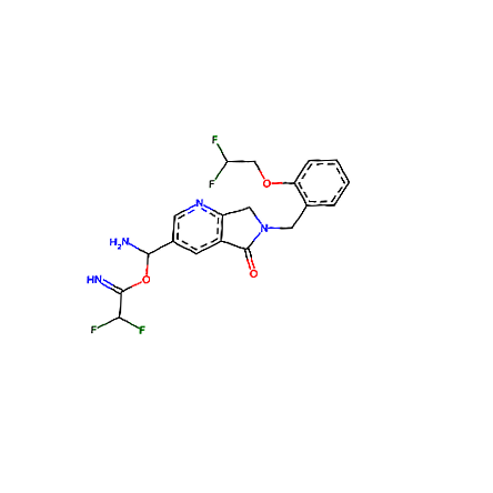 N=C(OC(N)c1cnc2c(c1)C(=O)N(Cc1ccccc1OCC(F)F)C2)C(F)F